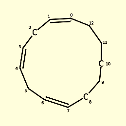 [C]1=CCC=CCC=CCCCCC1